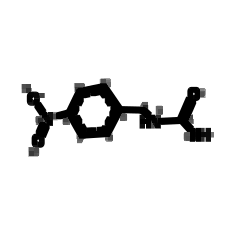 [NH]C(=O)NCc1ccc([N+](=O)[O-])cc1